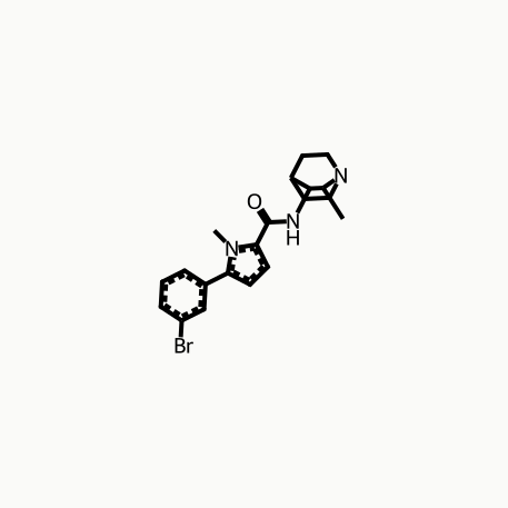 CC1C(NC(=O)c2ccc(-c3cccc(Br)c3)n2C)C2CCN1CC2